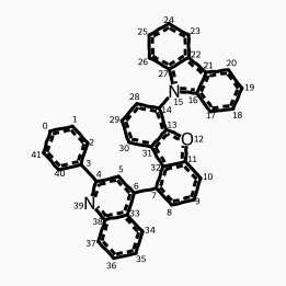 c1ccc(-c2cc(-c3cccc4oc5c(-n6c7ccccc7c7ccccc76)cccc5c34)c3ccccc3n2)cc1